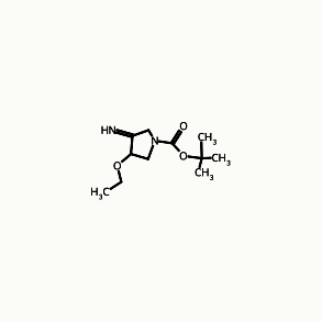 CCOC1CN(C(=O)OC(C)(C)C)CC1=N